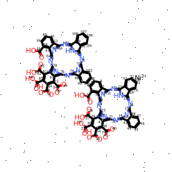 O=C(O)c1cccc2c1-c1nc-2nc2[nH]c(nc3nc(nc4[nH]c(n1)c1c(C(=O)O)c(C(=O)O)c(C(=O)O)c(C(=O)[O-])c41)-c1ccccc1-3)c1ccccc21.O=C(O)c1cccc2c1-c1nc-2nc2[nH]c(nc3nc(nc4[nH]c(n1)c1c(C(=O)O)c(C(=O)O)c(C(=O)O)c(C(=O)[O-])c41)-c1ccccc1-3)c1ccccc21.[Ni+2]